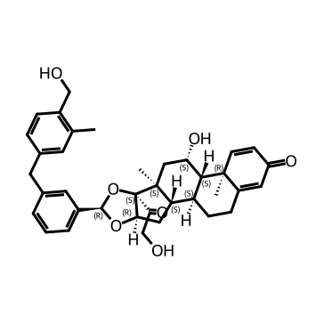 Cc1cc(Cc2cccc([C@@H]3O[C@@H]4C[C@H]5[C@@H]6CCC7=CC(=O)C=C[C@]7(C)[C@H]6[C@@H](O)C[C@]5(C)[C@]4(C(=O)CO)O3)c2)ccc1CO